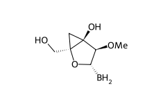 B[C@@H]1O[C@@]2(CO)C[C@]2(O)[C@H]1OC